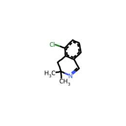 CC1(C)Cc2c(Cl)cccc2C=N1